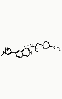 Cn1cc(-c2ccc3cnc(NC(=O)CN4CCC(C(F)(F)F)CC4)nc3c2)cn1